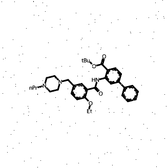 CCCN1CCN(Cc2ccc(OCC)c(C(=O)Nc3cc(-c4ccccc4)ccc3C(=O)OC(C)(C)C)c2)CC1